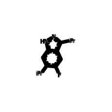 CC(C)c1cc2[nH]nc(C(C)C)c2cc1F